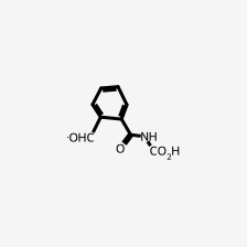 O=[C]c1ccccc1C(=O)NC(=O)O